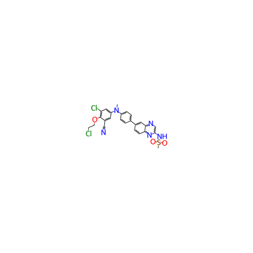 CN(c1ccc(-c2ccc3nc(NS(C)(=O)=O)cnc3c2)cc1)c1cc(Cl)c(OCCCl)c(C#N)c1